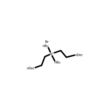 CCCCCCCCCCCC[N+](CCCC)(CCCC)CCCCCCCCCCCC.[Br-]